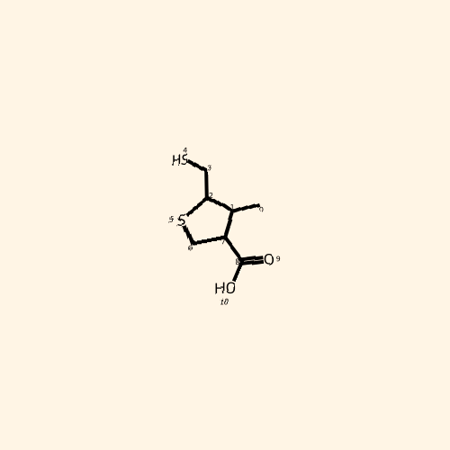 CC1C(CS)SCC1C(=O)O